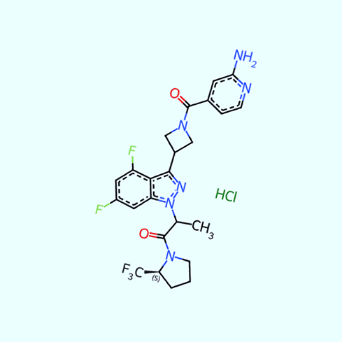 CC(C(=O)N1CCC[C@H]1C(F)(F)F)n1nc(C2CN(C(=O)c3ccnc(N)c3)C2)c2c(F)cc(F)cc21.Cl